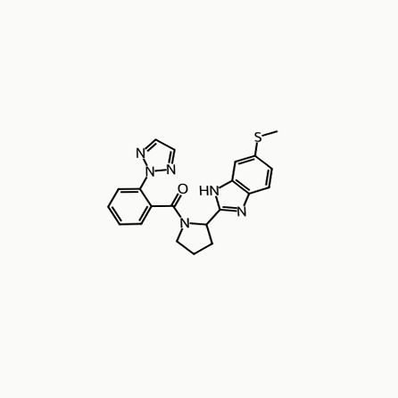 CSc1ccc2nc(C3CCCN3C(=O)c3ccccc3-n3nccn3)[nH]c2c1